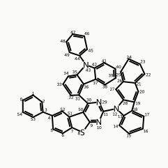 c1ccc(-c2ccc3sc4nc(-n5c6ccccc6c6cc7ccccc7cc65)nc(-c5cccc6c5c5ccccc5n6-c5ccccc5)c4c3c2)cc1